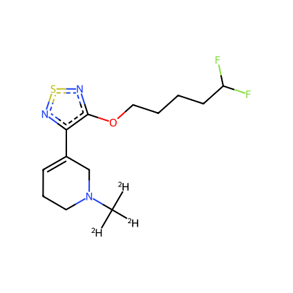 [2H]C([2H])([2H])N1CCC=C(c2nsnc2OCCCCC(F)F)C1